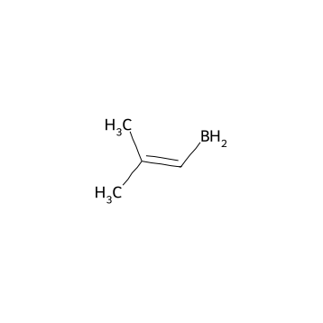 BC=C(C)C